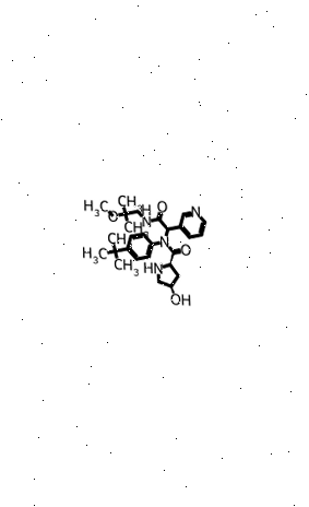 COC(C)(C)CNC(=O)C(c1cccnc1)N(C(=O)[C@H]1C[C@@H](O)CN1)c1ccc(C(C)(C)C)cc1